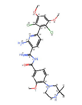 COc1cc(C(=O)NC(=N)c2ccc(-c3c(Cl)c(OC)cc(OC)c3Cl)nc2N)ccc1N1CCNC(C)(C)C1